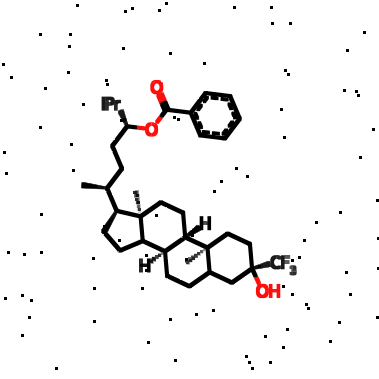 CC(C)[C@H](CC[C@H](C)[C@@H]1CCC2[C@@H]3CCC4C[C@](O)(C(F)(F)F)CC[C@]4(C)[C@H]3CC[C@@]21C)OC(=O)c1ccccc1